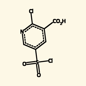 O=C(O)c1cc(S(=O)(=O)Cl)cnc1Cl